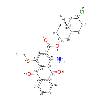 CCSc1cc(C(=O)O[C@@H]2CC[C@@H]3CC(Cl)CCC3C2)c(N)c2c1C(=O)c1ccccc1C2=O